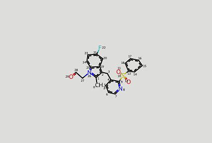 Cc1c(Cc2cccnc2S(=O)(=O)c2ccccc2)c2cc(F)ccc2n1CC=O